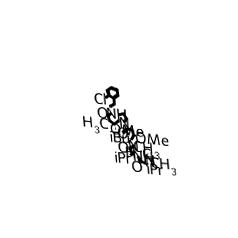 CC[C@H](C)[C@@H]([C@@H](CC(=O)N1CCC[C@H]1[C@H](OC)[C@@H](C)C(=O)NCCc1ccccc1Cl)OC)N(C)C(=O)C(NC(=O)[C@H](C(C)C)N(C)C)C(C)C